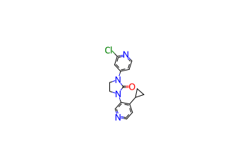 O=C1N(c2ccnc(Cl)c2)CCN1c1cnccc1C1CC1